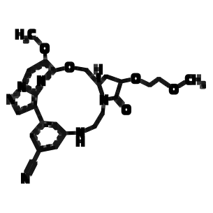 COCCOC1C[C@H]2COc3nc4c(cnn4cc3OC)-c3cc(C#N)cc(c3)NCCN2C1=O